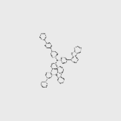 c1ccc(-c2ccc(-c3ccc(N(c4ccc(-c5ccc(-c6ccccc6)cc5-n5c6ccccc6c6ccccc65)cc4)c4ccc(-c5cccc6c5oc5ccccc56)cc4)cc3)cc2)cc1